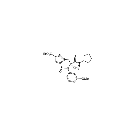 CCOC(=O)c1cc2n(n1)CC(C)(C(=O)NC1CCCC1)N(c1cccc(OC)c1)C2=O